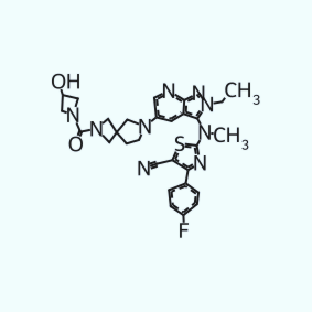 CCn1nc2ncc(N3CCC4(CN(C(=O)N5CC(O)C5)C4)C3)cc2c1N(C)c1nc(-c2ccc(F)cc2)c(C#N)s1